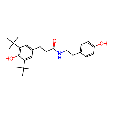 CC(C)(C)c1cc(CCC(=O)NCCc2ccc(O)cc2)cc(C(C)(C)C)c1O